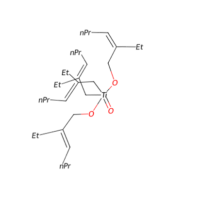 CCCC=C(CC)C[O][Ti](=[O])([CH2]C(=CCCC)CC)([CH2]C(=CCCC)CC)[O]CC(=CCCC)CC